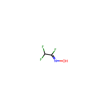 ON=C(F)C(F)F